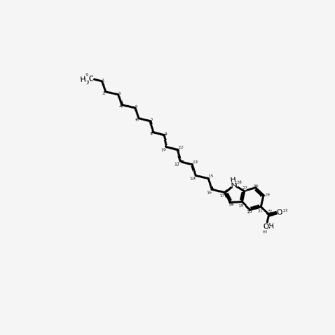 CCCCCCCCCCCCCCCCCc1cc2cc(C(=O)O)ccc2[nH]1